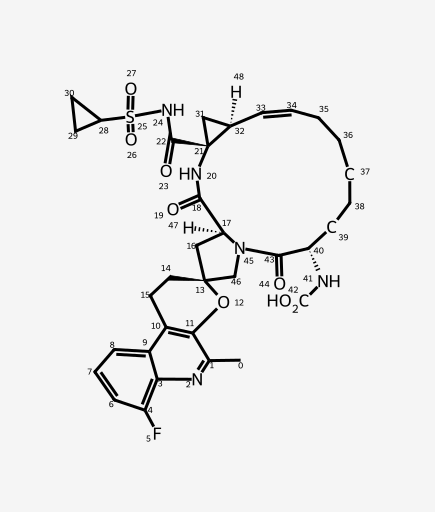 Cc1nc2c(F)cccc2c2c1O[C@]1(CC2)C[C@H]2C(=O)N[C@]3(C(=O)NS(=O)(=O)C4CC4)C[C@H]3/C=C\CCCCC[C@H](NC(=O)O)C(=O)N2C1